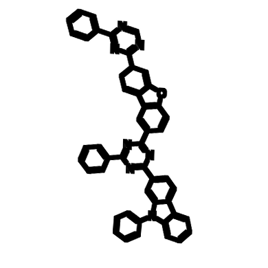 C1=c2oc3ccc(-c4nc(-c5ccccc5)nc(-c5ccc6c7ccccc7n(-c7ccccc7)c6c5)n4)cc3c2=CCC1c1ncnc(-c2ccccc2)n1